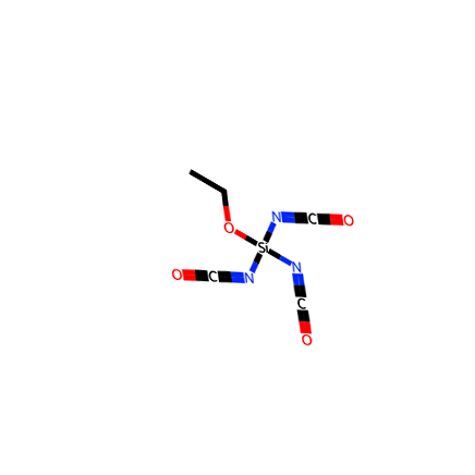 CCO[Si](N=C=O)(N=C=O)N=C=O